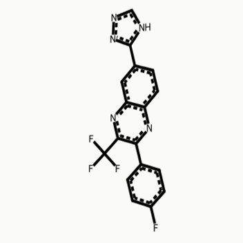 Fc1ccc(-c2nc3ccc(-c4nnc[nH]4)cc3nc2C(F)(F)F)cc1